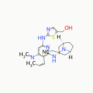 C=Nc1cc(Nc2ncc(CO)s2)nc(N[C@@H]2C[C@H]3CC[C@@H](C2)N3CCC#N)c1/C=C\C